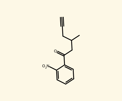 C#CCC(C)CC(=O)c1ccccc1[N+](=O)[O-]